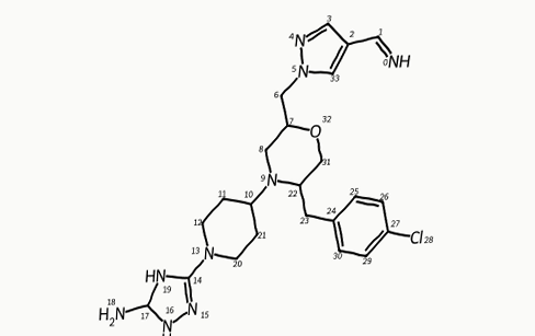 N=Cc1cnn(CC2CN(C3CCN(C4=NNC(N)N4)CC3)C(Cc3ccc(Cl)cc3)CO2)c1